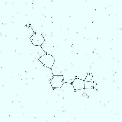 CN1CCC(N2CCN(c3cncc(B4OC(C)(C)C(C)(C)O4)c3)CC2)CC1